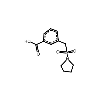 O=C(O)c1cccc(CS(=O)(=O)N2CCCC2)c1